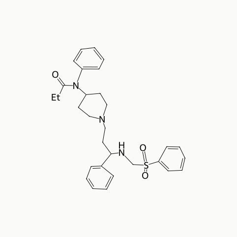 CCC(=O)N(c1ccccc1)C1CCN(CCC(NCS(=O)(=O)c2ccccc2)c2ccccc2)CC1